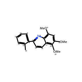 COc1cc(OC)c2nc(-c3c[c]ccc3C)ccc2c1OC